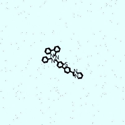 c1ccc(-c2nc(-c3ccc4c(c3)sc3cc(-c5cn6ccccc6n5)ccc34)nc(-c3ccccc3-c3ccccc3)n2)cc1